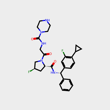 O=C(N[C@@H](c1ccccc1)c1ccc(C2CC2)c(F)c1)[C@@H]1C[C@@H](F)CN1C(=O)CNC(=O)N1CCNCC1